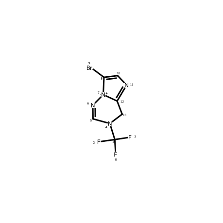 FC(F)(F)N1C=N[N+]2C(Br)=CN=C2C1